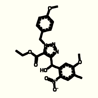 CCOC(=O)c1c(C(O)c2cc(OC)c(C)cc2[N+](=O)[O-])nnn1Cc1ccc(OC)cc1